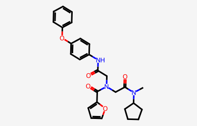 CN(C(=O)CN(CC(=O)Nc1ccc(Oc2ccccc2)cc1)C(=O)c1ccco1)C1CCCC1